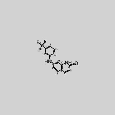 O=c1ccc2ccc(Nc3cccc(C(F)(F)F)c3)cc2[nH]1